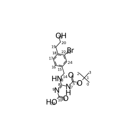 CC(C)(C)OC(=O)N/C(=N\C(=O)O)NCc1ccc(CCO)c(Br)c1